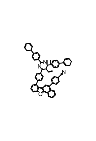 C=CC1C(c2ccc(-c3cccc4oc5c6ccccc6c(-c6ccc(C#N)cc6)cc5c34)cc2)=NC(c2ccc(C3C=CC=CC3)cc2)NC1c1ccc(C2=CCCC=C2)cc1